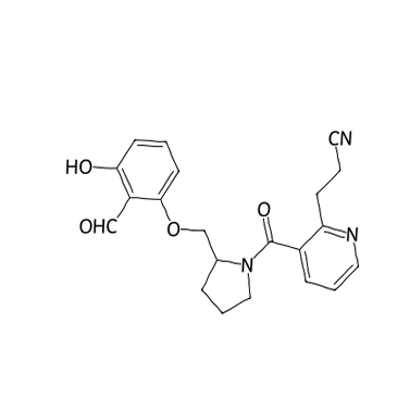 N#CCCc1ncccc1C(=O)N1CCCC1COc1cccc(O)c1C=O